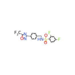 O=S(=O)(NCc1ccc(-c2noc(C(F)(F)F)n2)cc1)c1ccc(F)cc1F